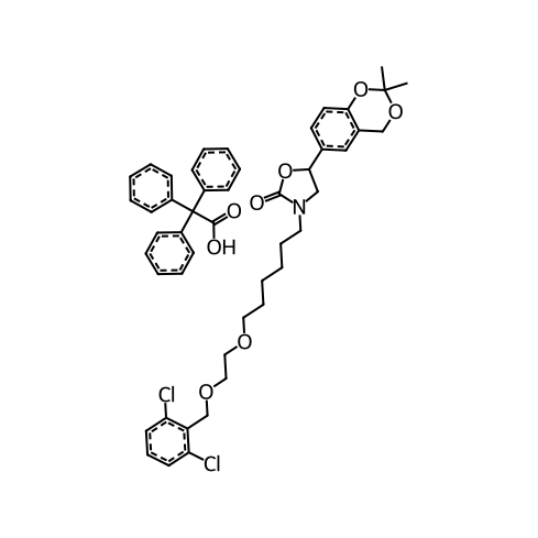 CC1(C)OCc2cc(C3CN(CCCCCCOCCOCc4c(Cl)cccc4Cl)C(=O)O3)ccc2O1.O=C(O)C(c1ccccc1)(c1ccccc1)c1ccccc1